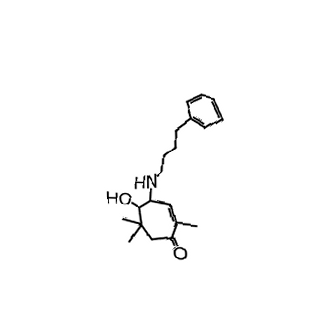 CC1=CC(NCCCCc2ccccc2)C(O)C(C)(C)CC1=O